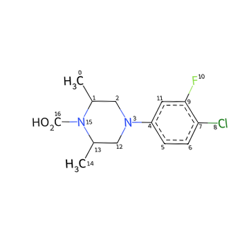 CC1CN(c2ccc(Cl)c(F)c2)CC(C)N1C(=O)O